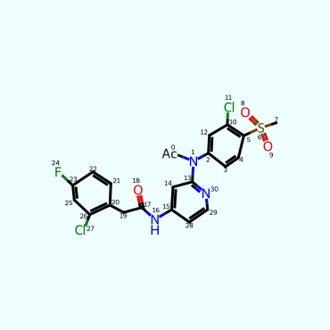 CC(=O)N(c1ccc(S(C)(=O)=O)c(Cl)c1)c1cc(NC(=O)Cc2ccc(F)cc2Cl)ccn1